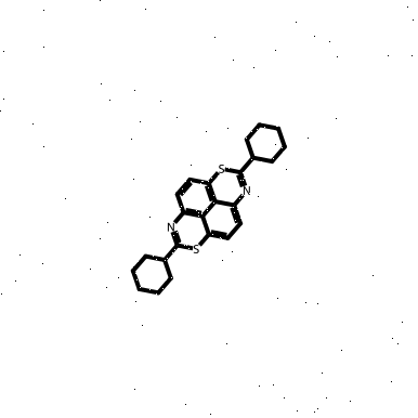 c1cc2c3c(ccc4c3c1N=C(C1CCCCC1)S4)N=C(C1CCCCC1)S2